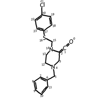 O=C=C1CN(Cc2ccccc2)CCN1CSc1ccc(Cl)cc1